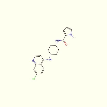 Cn1cccc1C(=O)N[C@H]1CC[C@@H](Nc2ccnc3cc(Cl)ccc23)CC1